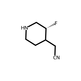 N#CCC1CCNC[C@@H]1F